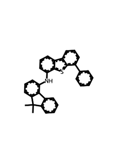 CC1(C)c2ccccc2-c2c(Nc3cccc4c3sc3c(-c5ccccc5)cccc34)cccc21